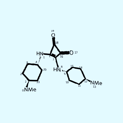 CN[C@H]1CC[C@H](Nc2c(N[C@H]3CC[C@H](NC)CC3)c(=O)c2=O)CC1